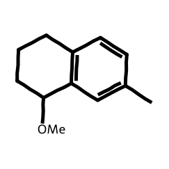 COC1CCCc2ccc(C)cc21